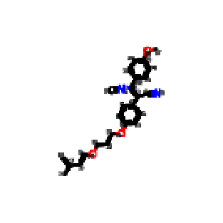 [C-]#[N+]/C(=C(/C#N)c1ccc(OCCCOC=CC(=C)C)cc1)c1ccc(OC)cc1